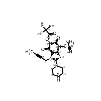 CC#CCn1c(N2CCNCC2)nc2c1c(=O)n(OC(=O)C(F)(F)F)c(=O)n2C.CC#N